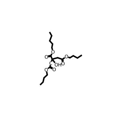 CCCCCOC(=O)C(O)(CC(=O)OCCCC)CC(=O)OCCCC